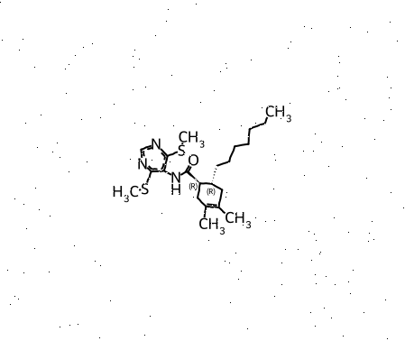 CCCCCCC[C@@H]1CC(C)=C(C)C[C@H]1C(=O)Nc1c(SC)ncnc1SC